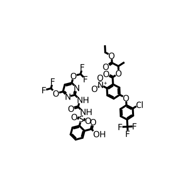 CCOC(=O)C(C)OC(=O)c1cc(Oc2ccc(C(F)(F)F)cc2Cl)ccc1[N+](=O)[O-].O=C(Nc1nc(OC(F)F)cc(OC(F)F)n1)NS(=O)(=O)c1ccccc1C(=O)O